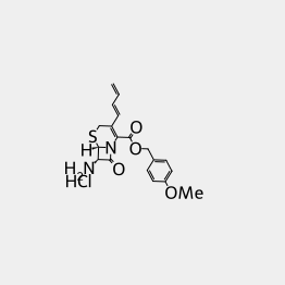 C=C/C=C/C1=C(C(=O)OCc2ccc(OC)cc2)N2C(=O)[C@@H](N)[C@@H]2SC1.Cl